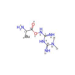 CCC(C)C(N)C(=O)ONC(=N)NC(=N)N(C)C